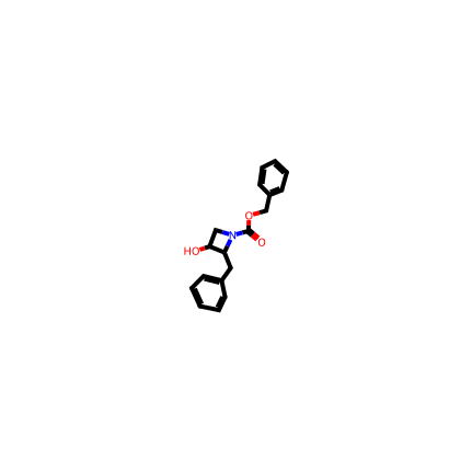 O=C(OCc1ccccc1)N1CC(O)C1Cc1ccccc1